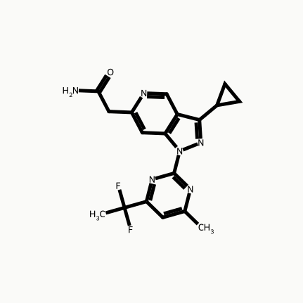 Cc1cc(C(C)(F)F)nc(-n2nc(C3CC3)c3cnc(CC(N)=O)cc32)n1